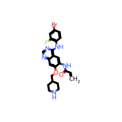 C=CC(=O)Nc1cc2c(Nc3ccc(Br)cc3F)ncnc2cc1OCC1CCNCC1